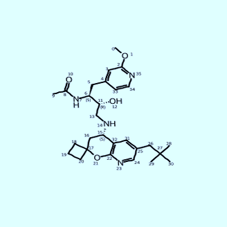 COc1cc(C[C@H](NC(C)=O)[C@H](O)CN[C@H]2CC3(CCC3)Oc3ncc(CC(C)(C)C)cc32)ccn1